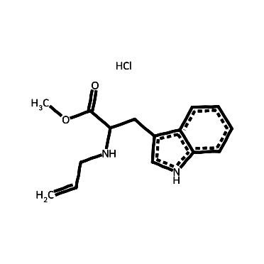 C=CCNC(Cc1c[nH]c2ccccc12)C(=O)OC.Cl